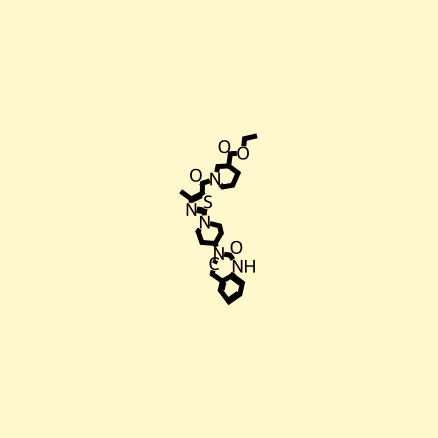 CCOC(=O)C1CCCN(C(=O)c2sc(N3CCC(N4CCc5ccccc5NC4=O)CC3)nc2C)C1